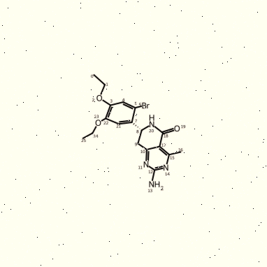 CCOc1cc(Br)c([C@H]2Cc3nc(N)nc(C)c3C(=O)N2)cc1OCC